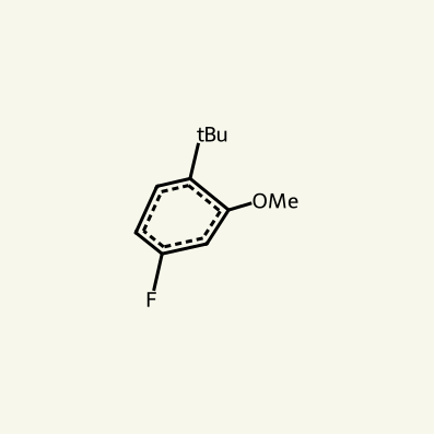 COc1cc(F)ccc1C(C)(C)C